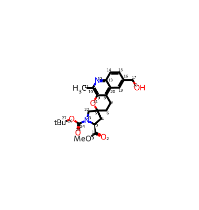 COC(=O)[C@@H]1CC2(CCc3c(c(C)nc4ccc(CO)cc34)O2)CN1C(=O)OC(C)(C)C